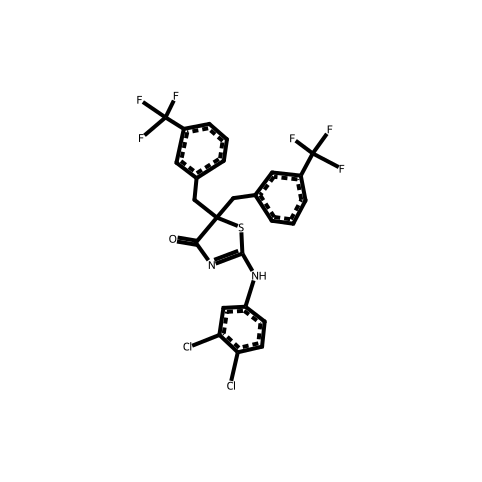 O=C1N=C(Nc2ccc(Cl)c(Cl)c2)SC1(Cc1cccc(C(F)(F)F)c1)Cc1cccc(C(F)(F)F)c1